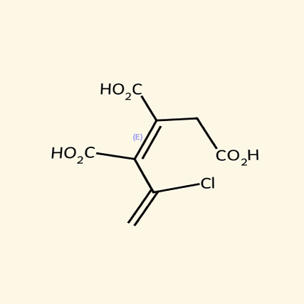 C=C(Cl)/C(C(=O)O)=C(\CC(=O)O)C(=O)O